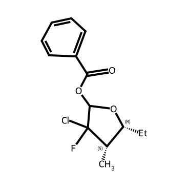 CC[C@H]1OC(OC(=O)c2ccccc2)C(F)(Cl)[C@H]1C